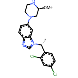 CO[C@H]1CN(c2ccc3ncn([C@H](C)c4ccc(Cl)cc4Cl)c3c2)CCN1